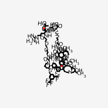 CC[C@@]1(O)C[C@@H]2CN(CCc3c([nH]c4ccccc34)[C@](C(=O)OC)(c3cc4c(cc3OC)N(C)[C@@H]3[C@](O)(C(=O)NNC(=O)OCCSSC[C@H](NC(=O)[C@@H](CC(=O)O)NC(=O)C(CCCNC(=N)N)NC(=O)CCOCCOCCNC(=O)CN5CCC[C@H](OCc6cc(C(F)(F)F)cc(C(F)(F)F)c6)[C@@H]5c5ccccc5)C(=O)O)[C@@H](O)[C@@]5(CC)C=CCN6CC[C@@]43[C@H]65)C2)C1